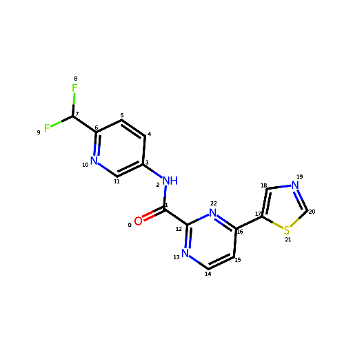 O=C(Nc1ccc(C(F)F)nc1)c1nccc(-c2cncs2)n1